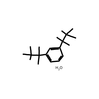 CC(C)(C)C(C)(C)c1cccc(C(C)(C)C(C)(C)C)c1.O